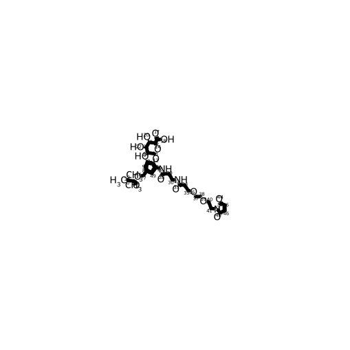 CC(C)(C)C(=O)OCc1ccc(O[C@@H]2OC(C(=O)O)[C@@H](O)[C@H](O)[C@H]2O)c(NC(=O)CCNC(=O)CCOCCOCCN2C(=O)C=CC2=O)c1